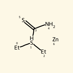 CC[SH](CC)C(N)=S.[Zn]